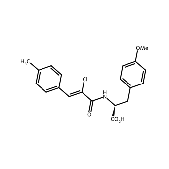 COc1ccc(C[C@H](NC(=O)/C(Cl)=C/c2ccc(C)cc2)C(=O)O)cc1